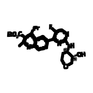 CCOC(=O)c1c(C)nc2ccc(-c3nc(N[C@@H]4CCOC[C@H]4O)ncc3F)cc2c1C(C)C